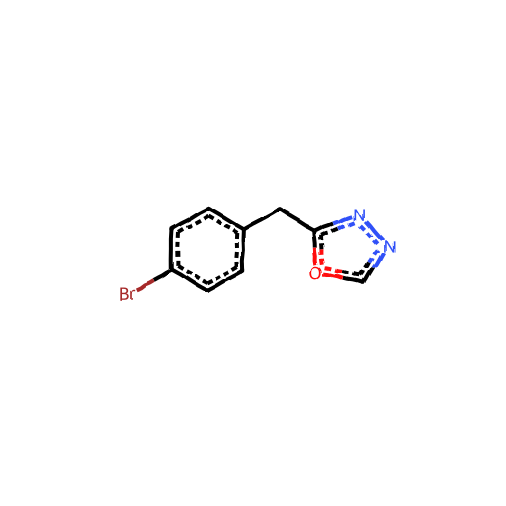 Brc1ccc(Cc2nnco2)cc1